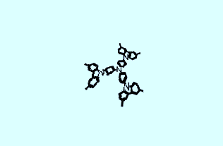 Cc1ccc2c(c1)c1cc(C)ccc1n2-c1ccc(N(c2ccc(-n3c4ccc(C)cc4c4cc(C)ccc43)cc2)c2ccc(-n3c4ccc(C)cc4c4cc(C)ccc43)cc2)cc1